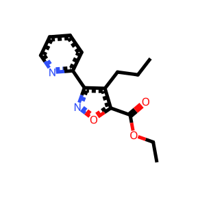 CCCc1c(-c2ccccn2)noc1C(=O)OCC